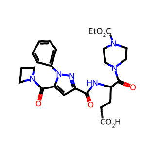 CCOC(=O)N1CCN(C(=O)C(CCC(=O)O)NC(=O)c2cc(C(=O)N3CCC3)n(-c3ccccc3)n2)CC1